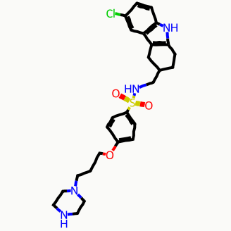 O=S(=O)(NCC1CCc2[nH]c3ccc(Cl)cc3c2C1)c1ccc(OCCCN2CCNCC2)cc1